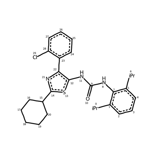 CC(C)c1cccc(C(C)C)c1NC(=O)Nc1sc(C2CCCCC2)nc1-c1ccccc1Cl